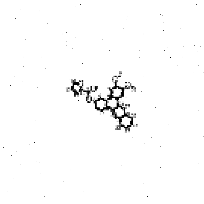 COc1cc2c3cc(OC(=O)c4ccco4)ccc3c3nc4ccccc4cc3c2cc1OC